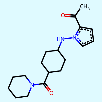 CC(=O)c1cccn1NC1CCC(C(=O)N2CCCCC2)CC1